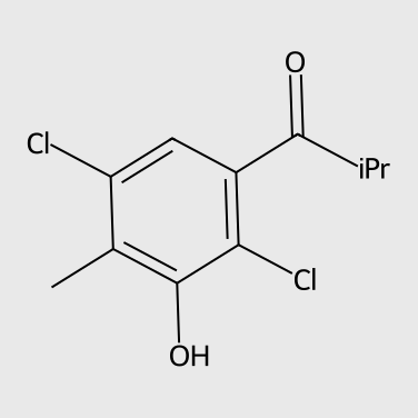 Cc1c(Cl)cc(C(=O)C(C)C)c(Cl)c1O